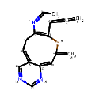 C=C=C/C1=C(\N=C/C)C/C=c2/cncn/c2=C/C(=C)S1